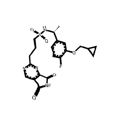 C[C@@H](NS(=O)(=O)CCCc1ncc2c(n1)C(=O)NC2=O)c1ccc(F)c(OCC2CC2)c1